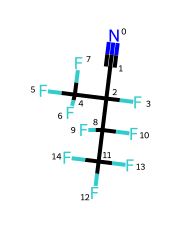 N#CC(F)(C(F)(F)F)C(F)(F)C(F)(F)F